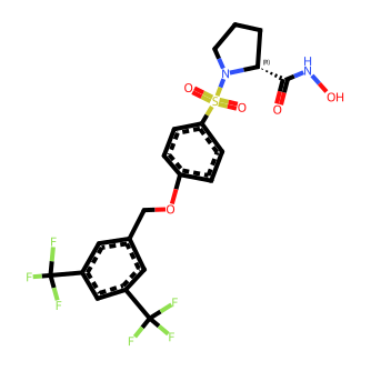 O=C(NO)[C@H]1CCCN1S(=O)(=O)c1ccc(OCc2cc(C(F)(F)F)cc(C(F)(F)F)c2)cc1